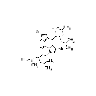 CC(C)CN(CCc1cc(Br)sc1C(=O)c1sc(Br)cc1CCN(CC(C)C)CC(C)C)CC(C)C